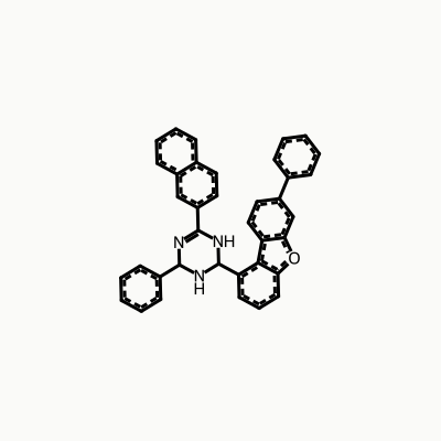 c1ccc(-c2ccc3c(c2)oc2cccc(C4NC(c5ccc6ccccc6c5)=NC(c5ccccc5)N4)c23)cc1